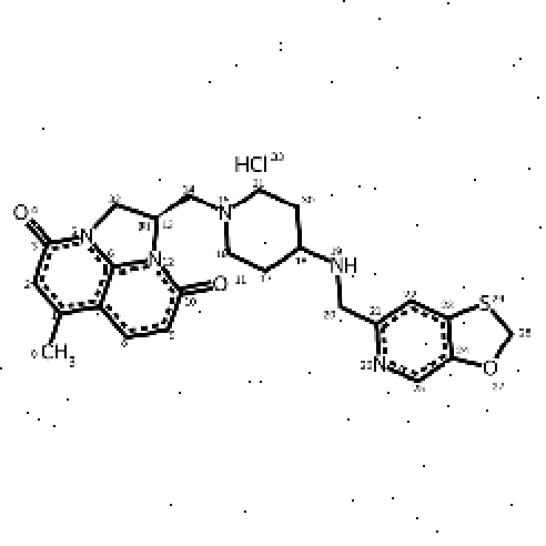 Cc1cc(=O)n2c3c1ccc(=O)n3[C@H](CN1CCC(NCc3cc4c(cn3)OCS4)CC1)C2.Cl